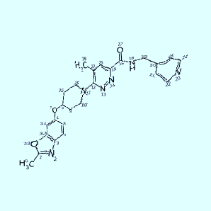 Cc1nc2ccc(OC3CCN(c4nnc(C(=O)NCc5ccncc5)cc4C)CC3)cc2o1